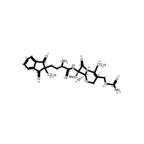 CO[C@@]1(NC(=O)C(N)CCC2(C(=O)O)C(=O)c3ccccc3C2=O)C(=O)N2C(C(=O)O)=C(COC(N)=O)CS[C@H]21